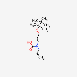 C=CCN(CCCO[Si](C)(C)C(C)(C)C)C(=O)O